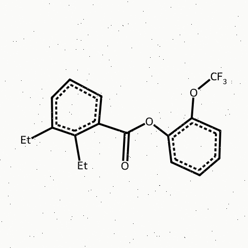 CCc1cccc(C(=O)Oc2ccccc2OC(F)(F)F)c1CC